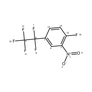 O=[N+]([O-])c1cc(C(F)(F)C(F)(F)F)ccc1F